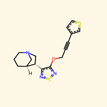 C(#Cc1ccsc1)COc1nsnc1[C@H]1CN2CCC[C@H]1C2